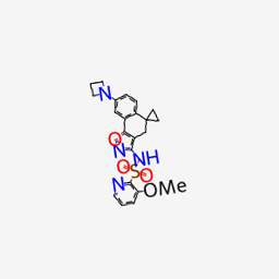 COc1cccnc1S(=O)(=O)Nc1noc2c1CC1(CC1)c1ccc(N3CCC3)cc1-2